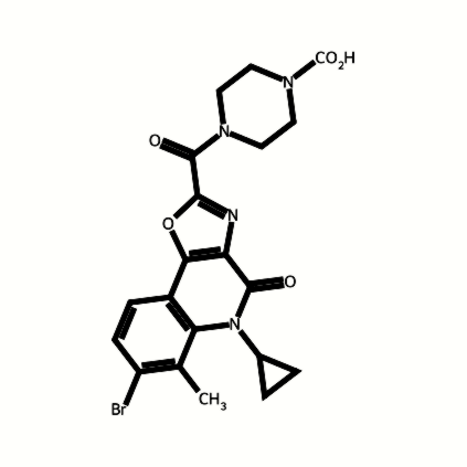 Cc1c(Br)ccc2c3oc(C(=O)N4CCN(C(=O)O)CC4)nc3c(=O)n(C3CC3)c12